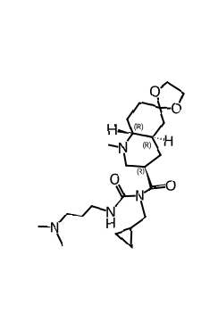 CN(C)CCCNC(=O)N(CC1CC1)C(=O)[C@@H]1C[C@@H]2CC3(CC[C@H]2N(C)C1)OCCO3